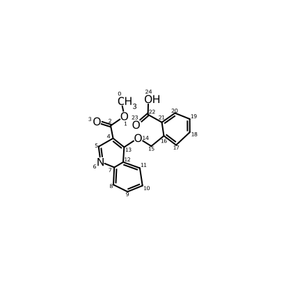 COC(=O)c1cnc2ccccc2c1OCc1ccccc1C(=O)O